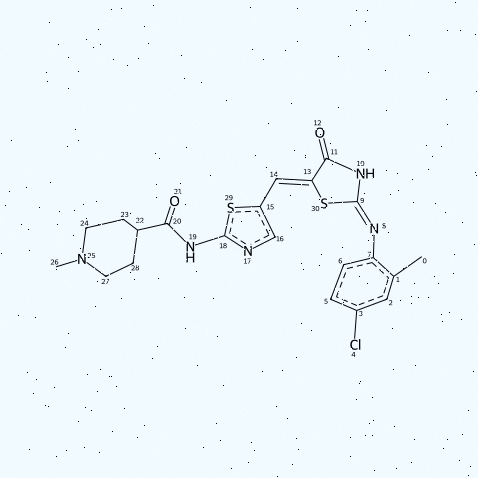 Cc1cc(Cl)ccc1/N=C1/NC(=O)/C(=C/c2cnc(NC(=O)C3CCN(C)CC3)s2)S1